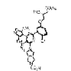 CNC[C@@H](O)COc1ccc(Cl)c(-c2nc(-c3c(C)noc3C)c(C)c(N3CC4=C(CN(C(=O)O)C4)C3)n2)c1